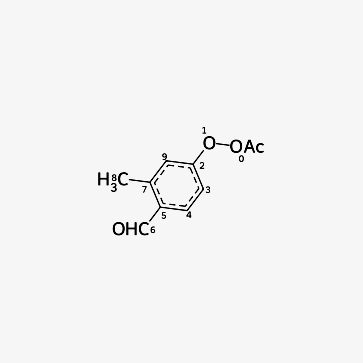 CC(=O)OOc1ccc(C=O)c(C)c1